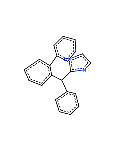 c1ccc(-c2ccccc2C(c2ccccc2)c2ncc[nH]2)cc1